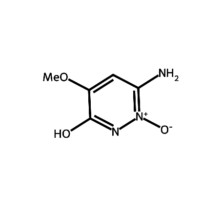 COc1cc(N)[n+]([O-])nc1O